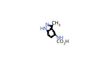 Cc1n[nH]c2ccc(NC(=O)O)cc12